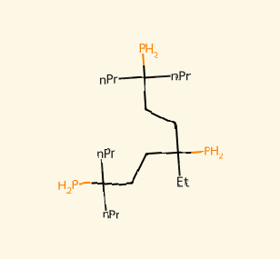 CCCC(P)(CCC)CCC(P)(CC)CCC(P)(CCC)CCC